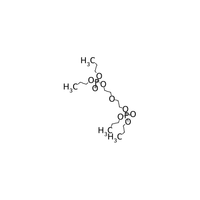 CCCOP(=O)(OCCC)OCCOCCOP(=O)(OCCC)OCCC